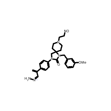 C=C(/C=N\N)c1ccc(N2CC3(CCN(CCN=O)CC3)N(Cc3cccc(OC)c3)C2=O)cc1